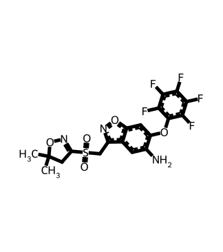 CC1(C)CC(S(=O)(=O)Cc2noc3cc(Oc4c(F)c(F)c(F)c(F)c4F)c(N)cc23)=NO1